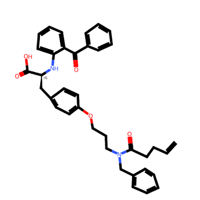 C=CCCC(=O)N(CCCOc1ccc(C[C@H](Nc2ccccc2C(=O)c2ccccc2)C(=O)O)cc1)Cc1ccccc1